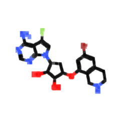 Nc1ncnc2c1c(F)cn2C1CC(Oc2cc(Br)cc3c2CNCC3)[C@@H](O)[C@H]1O